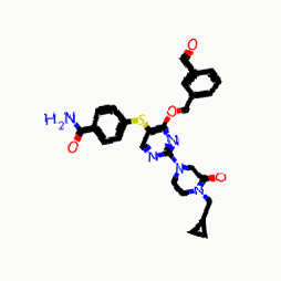 NC(=O)c1ccc(Sc2cnc(N3CCN(CC4CC4)C(=O)C3)nc2OCc2cccc(C=O)c2)cc1